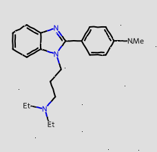 CCN(CC)CCCn1c(-c2ccc(NC)cc2)nc2ccccc21